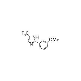 COc1cccc(-c2ncc(C(F)(F)F)[nH]2)c1